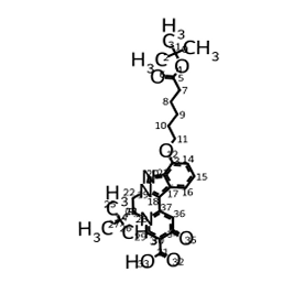 CC(C)(C)OC(=O)CCCCCOc1cccc2c3n(nc12)C[C@@H](C(C)(C)C)n1cc(C(=O)O)c(=O)cc1-3